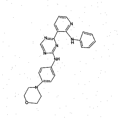 c1ccc(Nc2ncccc2-c2ncnc(Nc3ccc(N4CCOCC4)cc3)n2)cc1